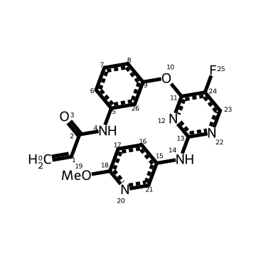 C=CC(=O)Nc1cccc(Oc2nc(Nc3ccc(OC)nc3)ncc2F)c1